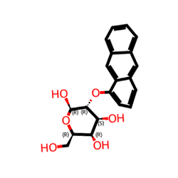 OC[C@H]1O[C@@H](O)[C@H](Oc2cccc3cc4ccccc4cc23)[C@@H](O)[C@H]1O